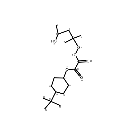 CC(O)CC(C)(C)OOC(=O)C(=O)OC1CCC(C(C)(C)C)CC1